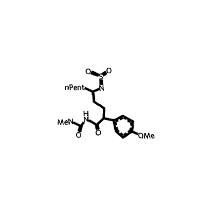 CCCCCC(CCC(C(=O)NC(=O)NC)c1ccc(OC)cc1)N=S(=O)=O